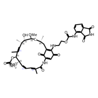 CO[C@H]1/C=C\C=C(/C)C(=O)NC2=CC(=O)C(NCCOC(=O)Nc3cccc4c3C(=O)NC4=O)=C(C[C@@H](C)C[C@H](OC)[C@@H](O)[C@@H](C)/C=C(\C)[C@@H]1OC(N)=O)C2=O